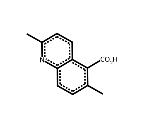 Cc1ccc2c(C(=O)O)c(C)ccc2n1